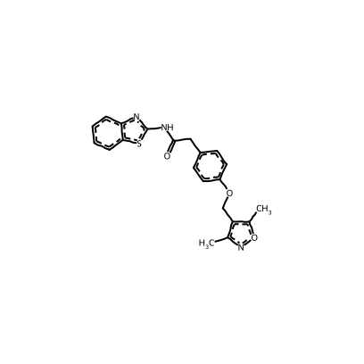 Cc1noc(C)c1COc1ccc(CC(=O)Nc2nc3ccccc3s2)cc1